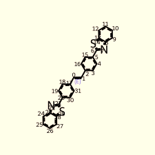 C(=C\c1ccc(-c2nc3ccccc3s2)cc1)/c1ccc(-c2nc3ccccc3s2)cc1